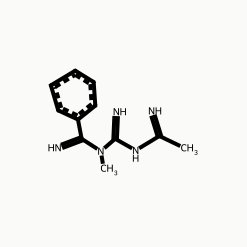 CC(=N)NC(=N)N(C)C(=N)c1ccccc1